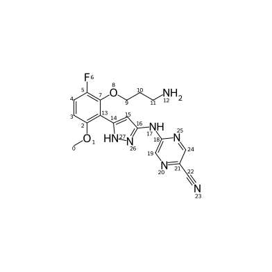 COc1ccc(F)c(OCCCN)c1-c1cc(Nc2cnc(C#N)cn2)n[nH]1